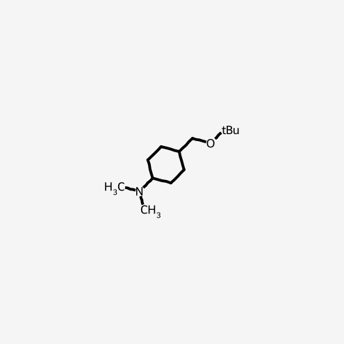 CN(C)C1CCC(COC(C)(C)C)CC1